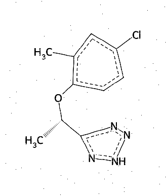 Cc1cc(Cl)ccc1O[C@@H](C)c1nn[nH]n1